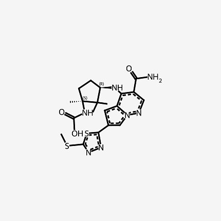 CSc1nnc(-c2cc3c(N[C@@H]4CC[C@](C)(NC(=O)O)C4(C)C)c(C(N)=O)cnn3c2)s1